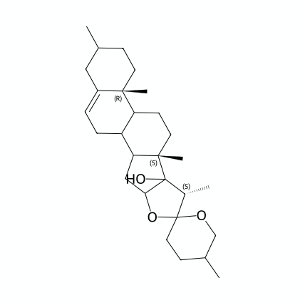 CC1CCC2(OC1)OC1CC3C4CC=C5CC(C)CC[C@]5(C)C4CC[C@]3(C)C1(O)[C@@H]2C